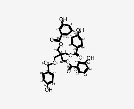 O=C(OCC(COC(=O)c1ccc(O)cc1)(COC(=O)c1cccc(O)c1)COC(=O)c1cccc(O)c1)c1ccc(O)cc1